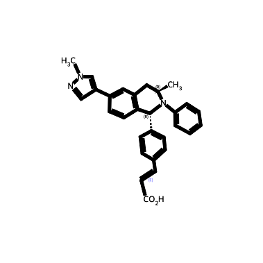 C[C@@H]1Cc2cc(-c3cnn(C)c3)ccc2[C@@H](c2ccc(/C=C/C(=O)O)cc2)N1c1ccccc1